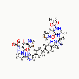 COC(=O)N[C@@H](Cc1cscn1)C(=O)N1CCC[C@H]1c1ncc(-c2ccc(-c3ccc(-c4cnc([C@@H]5CCCN5C(=O)[C@H](Cc5cscn5)NC(=O)O)[nH]4)cc3)cc2)[nH]1